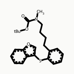 CN(CCCCc1ccccc1Sc1coc2ccccc12)C(=O)OC(C)(C)C